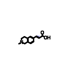 CN1CCc2cc(/C=C/C(=O)O)ccc2C1